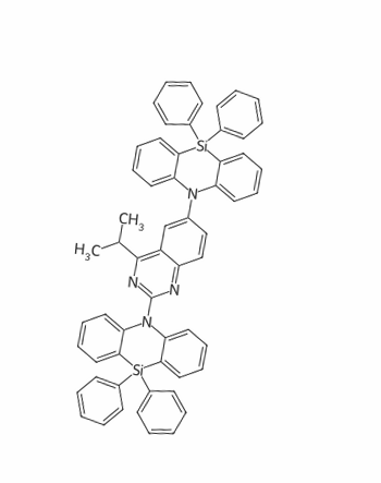 CC(C)c1nc(N2c3ccccc3[Si](c3ccccc3)(c3ccccc3)c3ccccc32)nc2ccc(N3c4ccccc4[Si](c4ccccc4)(c4ccccc4)c4ccccc43)cc12